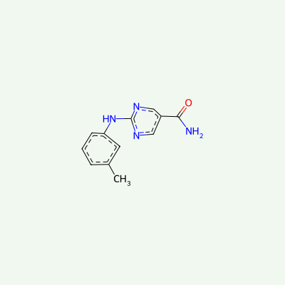 Cc1cccc(Nc2ncc(C(N)=O)cn2)c1